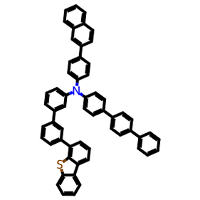 c1ccc(-c2ccc(-c3ccc(N(c4ccc(-c5ccc6ccccc6c5)cc4)c4cccc(-c5cccc(-c6cccc7c6sc6ccccc67)c5)c4)cc3)cc2)cc1